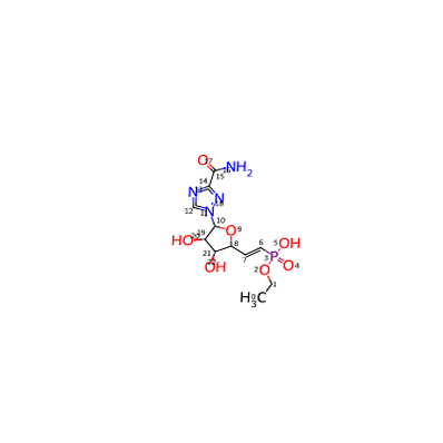 CCOP(=O)(O)/C=C/C1OC(n2cnc(C(N)=O)n2)[C@H](O)[C@@H]1O